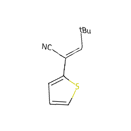 CC(C)(C)/C=C(\C#N)c1cccs1